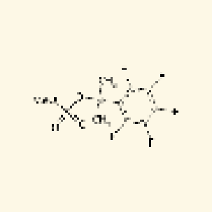 COS(=O)(=O)O[Si](C)(C)c1c(F)c(F)c(F)c(F)c1F